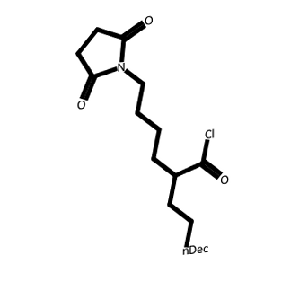 CCCCCCCCCCCCC(CCCCN1C(=O)CCC1=O)C(=O)Cl